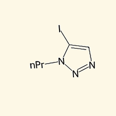 CCCn1nncc1I